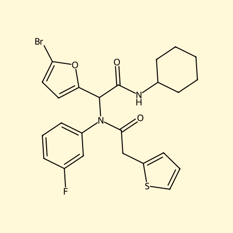 O=C(NC1CCCCC1)C(c1ccc(Br)o1)N(C(=O)Cc1cccs1)c1cccc(F)c1